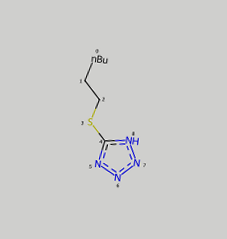 CCCCCCSc1nnn[nH]1